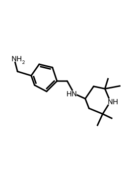 CC1(C)CC(NCc2ccc(CN)cc2)CC(C)(C)N1